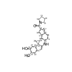 C=C(Nc1ccc2sc(C(=O)N3CCCC3)cc2c1)C1(c2ccc(O)c(O)c2)CC1